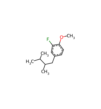 COc1ccc(CC(C)C(C)C)cc1F